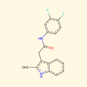 O=Cc1[nH]c2ccccc2c1CC(=O)Nc1ccc(F)c(F)c1